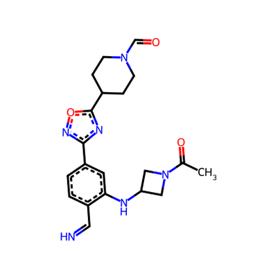 CC(=O)N1CC(Nc2cc(-c3noc(C4CCN(C=O)CC4)n3)ccc2C=N)C1